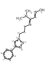 CN(C)C(/C=N/O)=N\CCCn1cc(-c2ccccc2)nn1